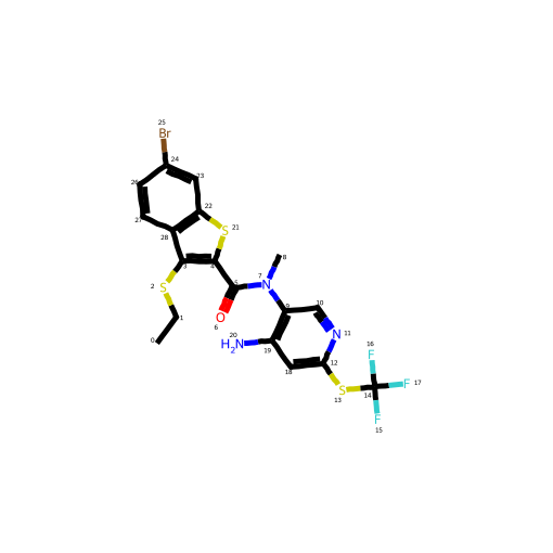 CCSc1c(C(=O)N(C)c2cnc(SC(F)(F)F)cc2N)sc2cc(Br)ccc12